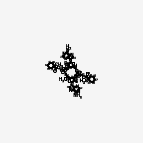 C[C@@H]1CP(=O)(OCOC(=O)C2(C)CCCCC2)O[C@H]2[C@@H](F)[C@H](n3cnc4c(N)ncnc43)O[C@@H]2COP(=O)(OCOC(=O)C2(C)CCCCC2)O[C@H]2[C@@H](F)[C@H](n3cnc4c(N)ncnc43)O[C@@H]21